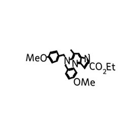 CCOC(=O)c1cc2nc(N(Cc3ccc(OC)cc3)Cc3ccc(OC)cc3)c(C)cc2n1C